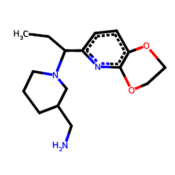 CCC(c1ccc2c(n1)OCCO2)N1CCCC(CN)C1